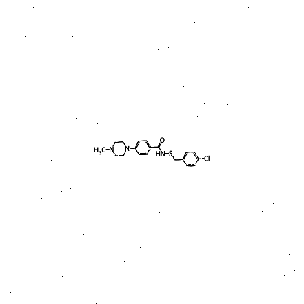 CN1CCN(c2ccc(C(=O)NSCc3ccc(Cl)cc3)cc2)CC1